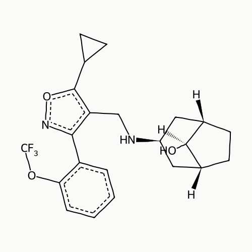 O[C@@H]1[C@@H]2CC[C@H]1C[C@H](NCc1c(-c3ccccc3OC(F)(F)F)noc1C1CC1)C2